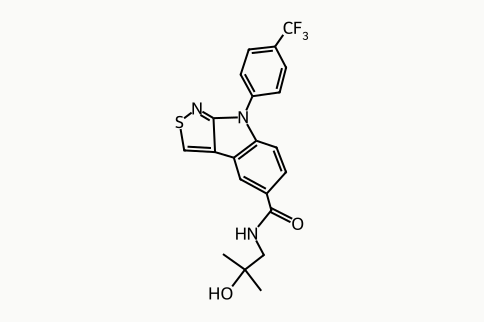 CC(C)(O)CNC(=O)c1ccc2c(c1)c1csnc1n2-c1ccc(C(F)(F)F)cc1